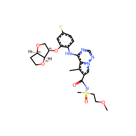 COCCS(C)(=O)=NC(=O)c1cn2ncnc(Nc3ccc(F)cc3O[C@@H]3CO[C@@H]4CCO[C@@H]43)c2c1C